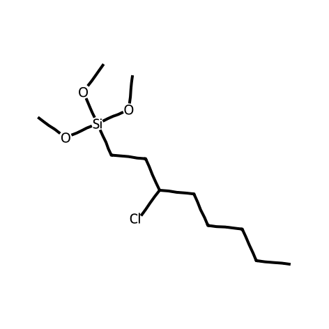 CCCCCC(Cl)CC[Si](OC)(OC)OC